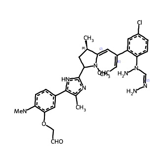 CNc1ccc(-c2[nH]c(C3C[C@@H](C)/C(=C/C(=C\C=O)c4cc(Cl)ccc4N(N)/C=N\N)N3C)nc2C)cc1OCC=O